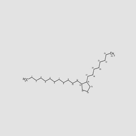 CCCCCCCCCCCCC1CCCC1CCCCCCCC